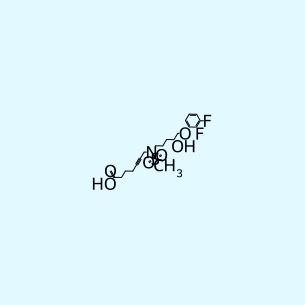 CS(=O)(=O)N(CC#CCCCC(=O)O)CCCC(O)COc1cccc(F)c1F